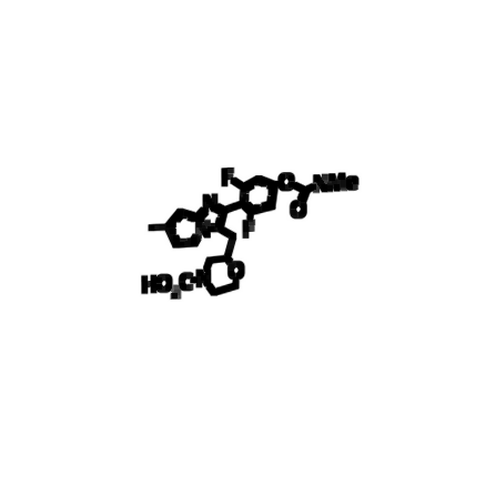 CNC(=O)Oc1cc(F)c(-c2nc3cc(C)ccn3c2CC2CN(C(=O)O)CCO2)c(F)c1